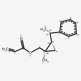 C=CC(=O)OC[C@]1(C)C[C@H]1[C@H](C)c1ccccc1